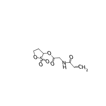 C=CC(=O)NCC(=O)OC1CCOS1(=O)=O